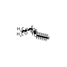 CCC(C)C(=O)OCCC(F)(F)OC(F)(F)C(F)(F)OC(F)(F)C(F)(F)C(F)(F)C(F)(F)C(F)(F)C(F)(F)F